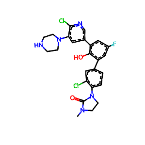 CN1CCN(c2ccc(-c3cc(F)cc(-c4cnc(Cl)c(N5CCNCC5)c4)c3O)cc2Cl)C1=O